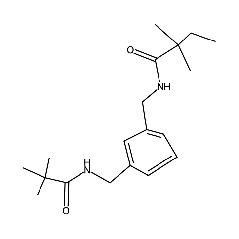 CCC(C)(C)C(=O)NCc1cccc(CNC(=O)C(C)(C)C)c1